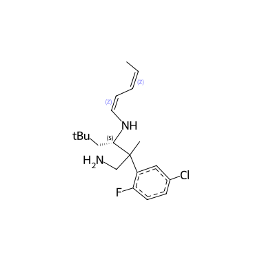 C/C=C\C=C/N[C@@H](CC(C)(C)C)C(C)(CN)c1cc(Cl)ccc1F